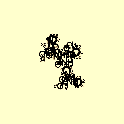 COC(=O)[C@H](C)NP(=O)(Oc1ccccc1)N1CCC(NC(=O)c2nn(P(=O)(N[C@@H](C)C(=O)OC)Oc3ccccc3)cc2NC(=O)c2c(Cl)cccc2Cl)CC1